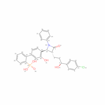 O=C1[C@H](CC[C@H](O)c2ccc(Cl)cc2)[C@@H](c2ccc(-c3ccccc3P(=O)(O)O)cc2O)N1c1ccccc1